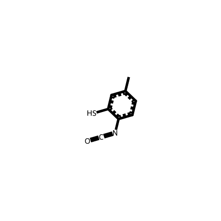 Cc1ccc(N=C=O)c(S)c1